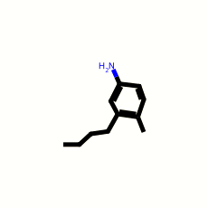 CCCCc1cc(N)ccc1C